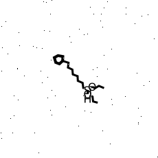 CCCO[SiH](CCCCCCCCc1ccccc1)OCCC